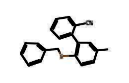 Cc1ccc(SCc2ccccc2)c(-c2ccccc2C#N)c1